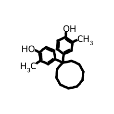 Cc1cc(C2(c3ccc(O)c(C)c3)CCCCCCCCC2)ccc1O